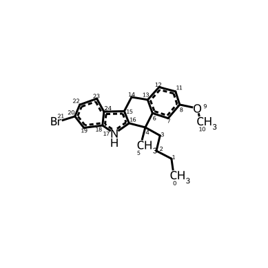 CCCCC1(C)c2cc(OC)ccc2Cc2c1[nH]c1cc(Br)ccc21